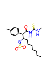 CCCCCCCC(N=S(=O)=O)C(C(=O)NC(=S)NC)c1ccc(C)cc1